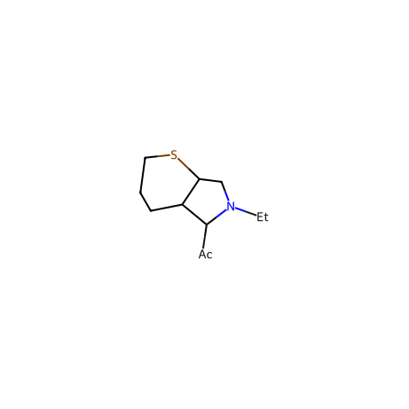 CCN1CC2SCCCC2C1C(C)=O